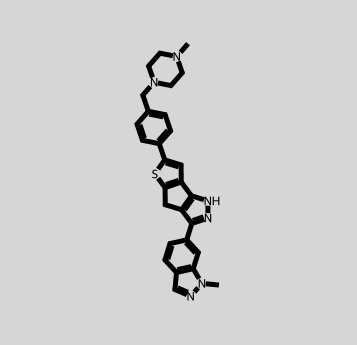 CN1CCN(Cc2ccc(-c3cc4c(s3)Cc3c(-c5ccc6cnn(C)c6c5)n[nH]c3-4)cc2)CC1